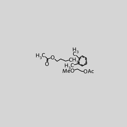 CCCCOC(C)=O.COCCOC(C)=O.Cc1ccccc1C